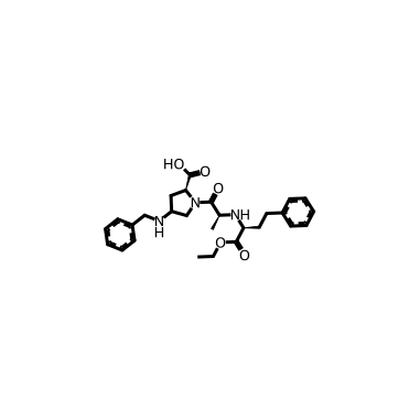 CCOC(=O)[C@H](CCc1ccccc1)N[C@@H](C)C(=O)N1CC(NCc2ccccc2)C[C@H]1C(=O)O